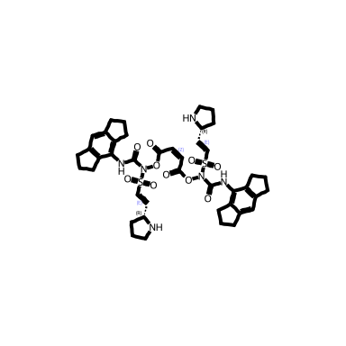 O=C(/C=C\C(=O)ON(C(=O)Nc1c2c(cc3c1CCC3)CCC2)S(=O)(=O)/C=C/[C@H]1CCCN1)ON(C(=O)Nc1c2c(cc3c1CCC3)CCC2)S(=O)(=O)/C=C/[C@H]1CCCN1